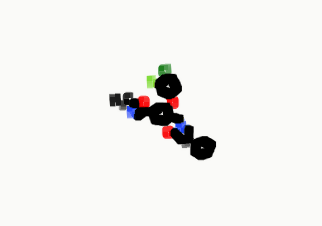 Cc1ncc(-c2ccc(CN3C[C@H](c4ccccc4)CC3=O)c(Oc3ccc(Cl)c(F)c3)c2)o1